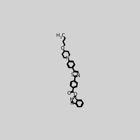 CCCCOC1CCN(c2ccc(-c3cnc(-c4ccc(C(=O)On5nnc6ccccc65)cc4)s3)cc2)CC1